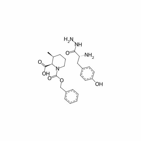 C[C@H]1CCCN(C(=O)OCc2ccccc2)[C@H]1C(=O)O.NNC(=O)[C@H](N)Cc1ccc(O)cc1